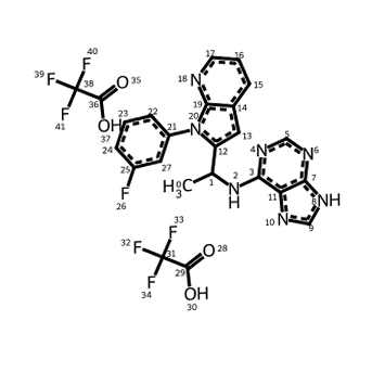 CC(Nc1ncnc2[nH]cnc12)c1cc2cccnc2n1-c1cccc(F)c1.O=C(O)C(F)(F)F.O=C(O)C(F)(F)F